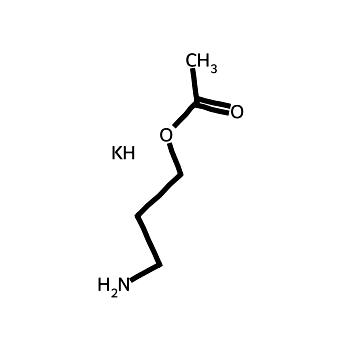 CC(=O)OCCCN.[KH]